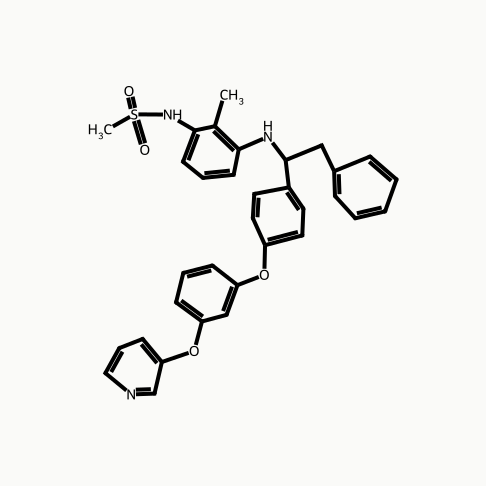 Cc1c(NC(Cc2ccccc2)c2ccc(Oc3cccc(Oc4cccnc4)c3)cc2)cccc1NS(C)(=O)=O